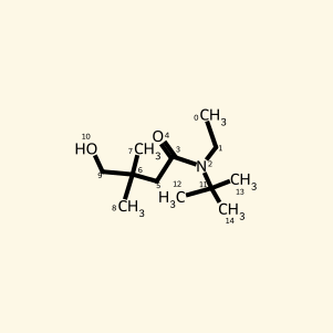 CCN(C(=O)CC(C)(C)CO)C(C)(C)C